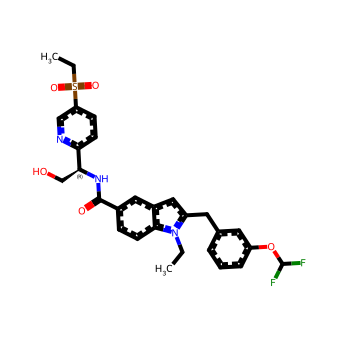 CCn1c(Cc2cccc(OC(F)F)c2)cc2cc(C(=O)N[C@@H](CO)c3ccc(S(=O)(=O)CC)cn3)ccc21